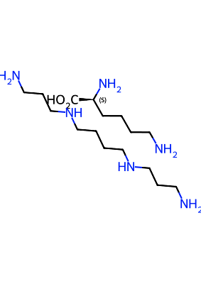 NCCCC[C@H](N)C(=O)O.NCCCNCCCCNCCCN